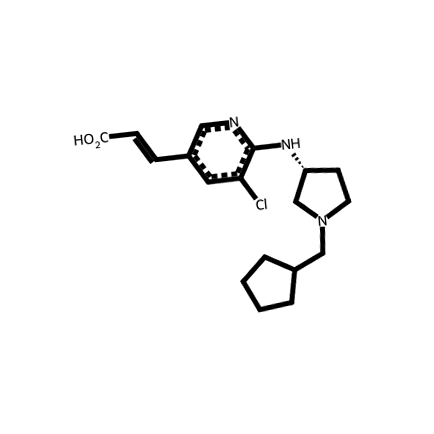 O=C(O)/C=C/c1cnc(N[C@@H]2CCN(CC3CCCC3)C2)c(Cl)c1